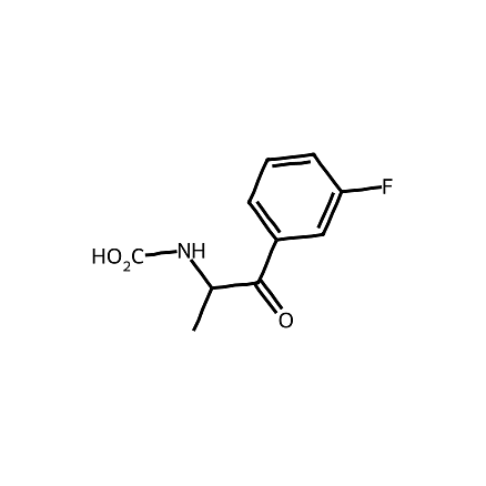 CC(NC(=O)O)C(=O)c1cccc(F)c1